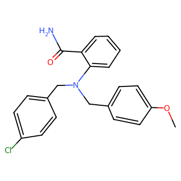 COc1ccc(CN(Cc2ccc(Cl)cc2)c2ccccc2C(N)=O)cc1